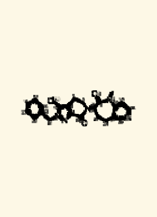 CN1C(=O)C(N2CCc3c(nn(Cc4ccccc4)c3Cl)C2=O)CCc2cnccc21